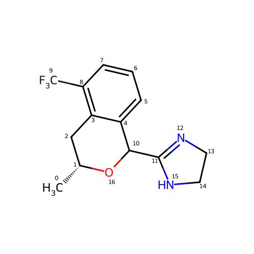 C[C@@H]1Cc2c(cccc2C(F)(F)F)C(C2=NCCN2)O1